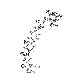 CC(=O)[C@@H](N)C1CN(c2ccc(-c3ccc(CNC(=O)/C=C/c4c(C)[nH]c(=O)[nH]c4=O)cc3)c(F)c2)C(=O)O1